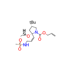 C=CCOC(=O)N1C[C@@H](C(C)(C)C)C[C@@]1(/C=C\CNS(C)(=O)=O)O[SiH](C)C